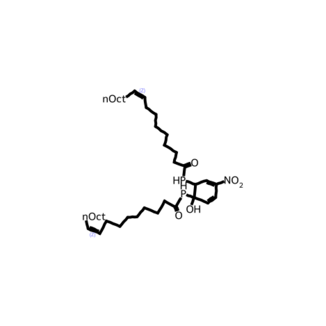 CCCCCCCC/C=C\CCCCCCCC(=O)PC1C=C([N+](=O)[O-])C=CC1(O)PC(=O)CCCCCCC/C=C\CCCCCCCC